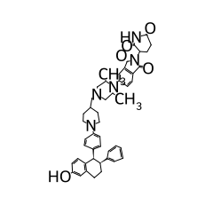 CC1CN(CC2CCN(c3ccc([C@@H]4c5ccc(O)cc5CC[C@@H]4c4ccccc4)cc3)CC2)CC(C)N1c1ccc2c(c1)C(=O)N(C1CCC(=O)NC1=O)C2=O